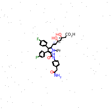 CC(C)n1c(/C=C/[C@@H](O)C[C@@H](O)CC(=O)O)c(-c2ccc(F)cc2)c(-c2ccc(F)cc2)c1C(=O)Nc1ccc(CC(N)=O)cc1